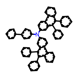 c1ccc(-c2ccc(N(c3ccc4c(c3)c(-c3ccccc3)c(-c3ccccc3)c3ccccc34)c3ccc4c(c3)c(-c3ccccc3)c(-c3ccccc3)c3ccccc34)cc2)cc1